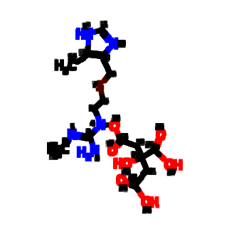 CN=C(N)N(CCSCc1nc[nH]c1C)OC(=O)CC(O)(CC(=O)O)C(=O)O.[Zn]